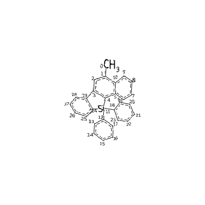 Cc1cc2c(c3ccccc13)[Si](c1ccccc1)(c1ccccc1)c1ccccc1-2